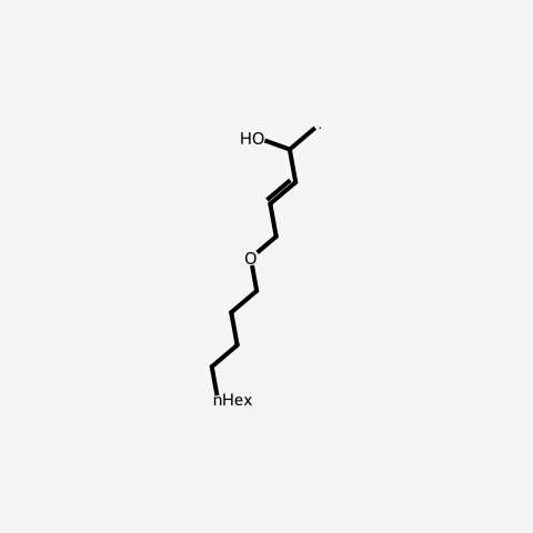 [CH2]C(O)C=CCOCCCCCCCCCC